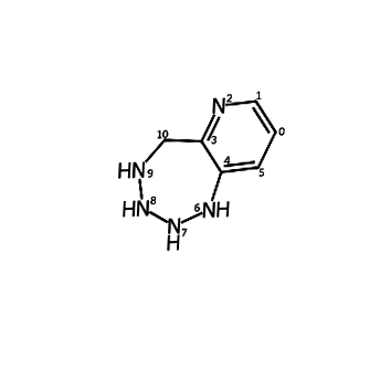 c1cnc2c(c1)NNNNC2